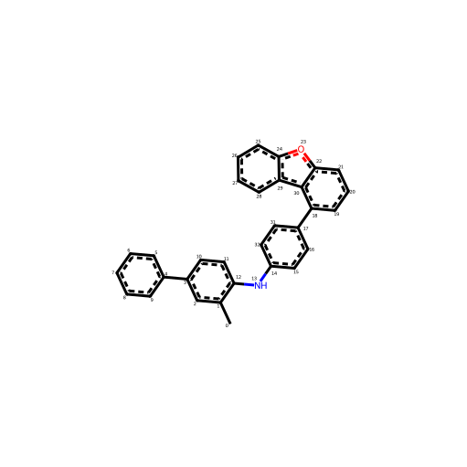 Cc1cc(-c2ccccc2)ccc1Nc1ccc(-c2cccc3oc4ccccc4c23)cc1